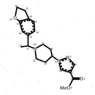 COC(=O)c1cnn(C2CCN(C(C)c3ccc4c(c3)OCC4)CC2)c1